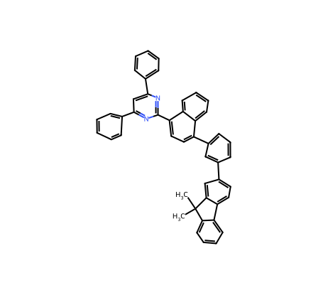 CC1(C)c2ccccc2-c2ccc(-c3cccc(-c4ccc(-c5nc(-c6ccccc6)cc(-c6ccccc6)n5)c5ccccc45)c3)cc21